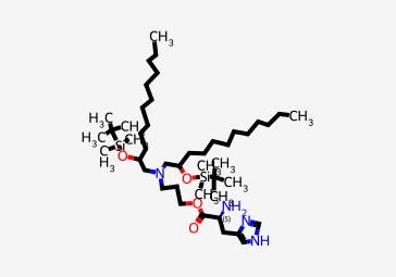 CCCCCCCCCCC(CN(CCCOC(=O)[C@@H](N)Cc1c[nH]cn1)CC(CCCCCCCCCC)O[Si](C)(C)C(C)(C)C)O[Si](C)(C)C(C)(C)C